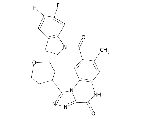 Cc1cc2[nH]c(=O)c3nnc(C4CCOCC4)n3c2cc1C(=O)N1CCc2cc(F)c(F)cc21